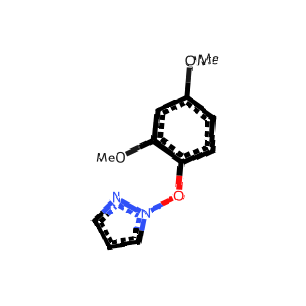 COc1ccc(On2cc[c]n2)c(OC)c1